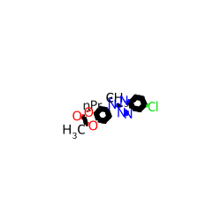 CCCOC(=O)C(C)Oc1ccc(N(C)c2nnc3cc(Cl)ccc3n2)cc1